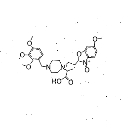 COc1ccc2c(c1)OC(CC[N+]1(C(C)C(=O)O)CCN(Cc3ccc(OC)c(OC)c3OC)CC1)[N+]2=O